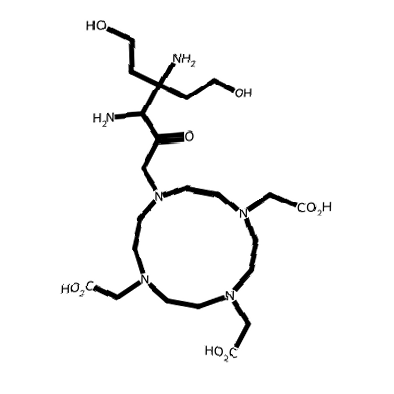 NC(C(=O)CN1CCN(CC(=O)O)CCN(CC(=O)O)CCN(CC(=O)O)CC1)C(N)(CCO)CCO